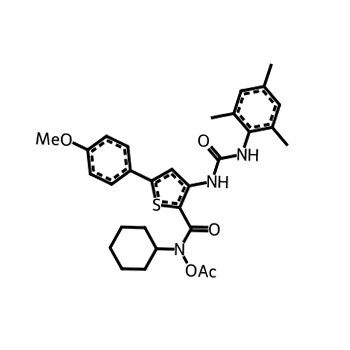 COc1ccc(-c2cc(NC(=O)Nc3c(C)cc(C)cc3C)c(C(=O)N(OC(C)=O)C3CCCCC3)s2)cc1